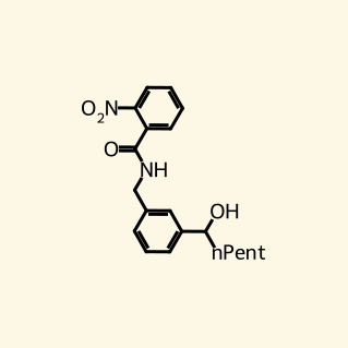 CCCCCC(O)c1cccc(CNC(=O)c2ccccc2[N+](=O)[O-])c1